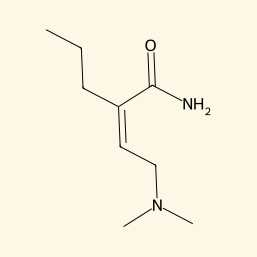 CCCC(=CCN(C)C)C(N)=O